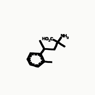 Cc1ccccc1C(C)CC(C)(N)C(=O)O